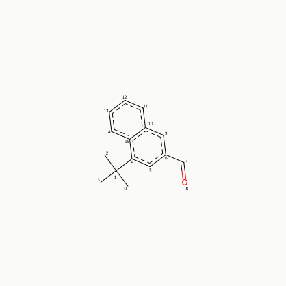 CC(C)(C)c1cc(C=O)cc2ccccc12